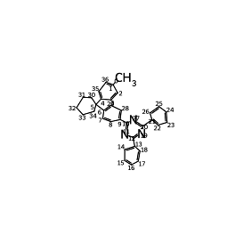 Cc1ccc(C2(c3ccc(-c4nc(-c5ccccc5)nc(-c5ccccc5)n4)cc3)CCCCC2)cc1